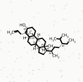 C=CC[C@@H]1[C@H](O)CC[C@@]2(C)[C@H]1CC[C@@H]1[C@@H]2CC[C@]2(C)[C@@H]([C@H](C)CC[C@@H](CC)C(C)C)CC[C@@H]12